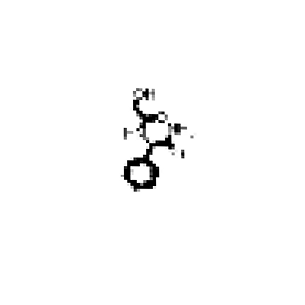 NC(=O)[C@H](NC(=O)CO)c1ccccc1